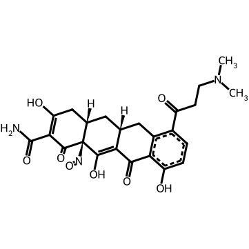 CN(C)CCC(=O)c1ccc(O)c2c1C[C@H]1C[C@H]3CC(O)=C(C(N)=O)C(=O)[C@@]3(N=O)C(O)=C1C2=O